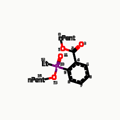 CCCCCOC(=O)c1ccccc1P(=O)(CC)OCCCCC